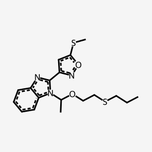 CCCSCCOC(C)n1c(-c2cc(SC)on2)nc2ccccc21